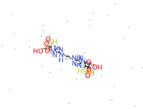 O=[PH](S)OC1C(CO)OC(n2cnc3c(NC/C=C/CNc4ncnc5c4ncn5[C@@H]4O[C@H](CO)[C@@H](O[PH](=O)S)[C@H]4F)ncnc32)[C@@H]1F